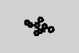 c1ccc2ccc(-c3nc(-c4c5ccccc5cc5sc6c(C7=CCC=CC=C7)cccc6c45)nc(C4CC=CCC4)n3)cc2c#1